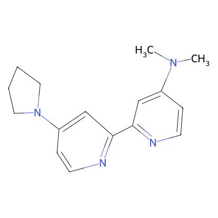 CN(C)c1ccnc(-c2cc(N3CCCC3)ccn2)c1